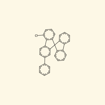 Clc1cccc2c1-c1ccc(-c3ccccc3)cc1C21c2ccccc2-c2ccccc21